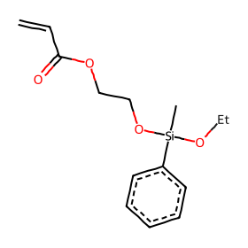 C=CC(=O)OCCO[Si](C)(OCC)c1ccccc1